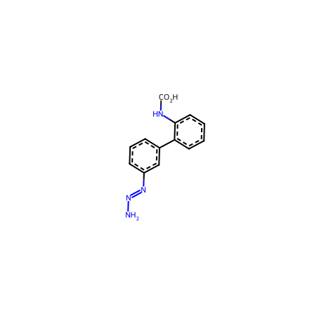 NN=Nc1cccc(-c2ccccc2NC(=O)O)c1